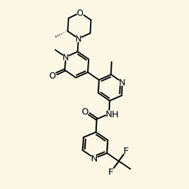 Cc1ncc(NC(=O)c2ccnc(C(C)(F)F)c2)cc1-c1cc(N2CCOC[C@H]2C)n(C)c(=O)c1